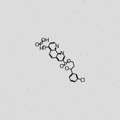 O=[PH](O)Oc1ccnc2c1ccc1cc(P3(=O)OCCC(c4cccc(Cl)c4)O3)cnc12